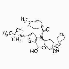 CC1=CC[C@@H](C(=O)N(c2cc(C#CC(C)(C)C)sc2C(=O)O)[C@H]2CC[C@](O)(O[C@@H]3CCOC3)CC2)CC1